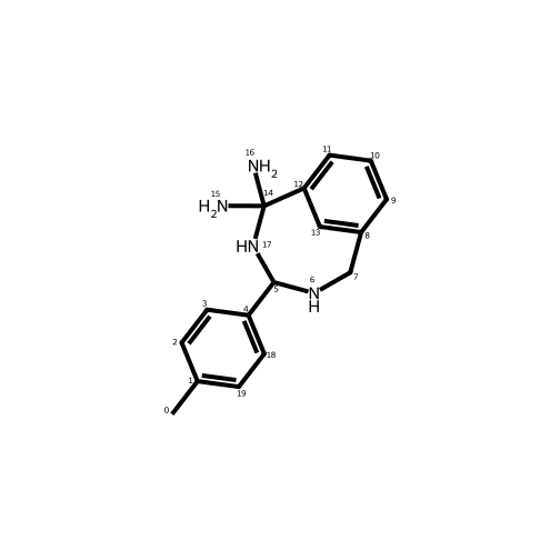 Cc1ccc(C2NCc3cccc(c3)C(N)(N)N2)cc1